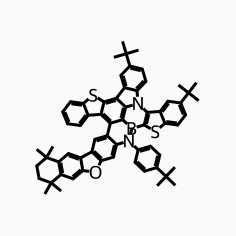 CC(C)(C)c1ccc(N2B3c4sc5ccc(C(C)(C)C)cc5c4-n4c5ccc(C(C)(C)C)cc5c5c6sc7ccccc7c6c(c3c54)-c3cc4c(cc32)oc2cc3c(cc24)C(C)(C)CCC3(C)C)cc1